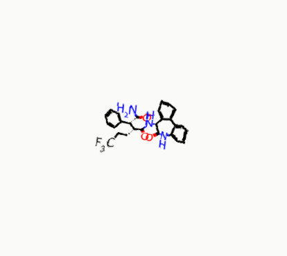 NC(=O)[C@@H](c1ccccc1)[C@@H](CCC(F)(F)F)C(=O)N[C@@H]1C(=O)Nc2ccccc2-c2ccccc21